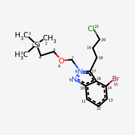 C[Si](C)(C)CCOCn1nc2cccc(Br)c2c1CCCCl